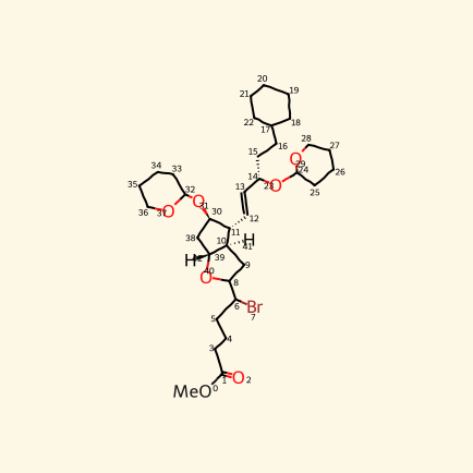 COC(=O)CCCC(Br)C1C[C@@H]2[C@@H](/C=C/[C@H](CCC3CCCCC3)OC3CCCCO3)[C@H](OC3CCCCO3)C[C@H]2O1